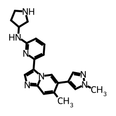 Cc1cc2ncc(-c3cccc(NC4CCNC4)n3)n2cc1-c1cnn(C)c1